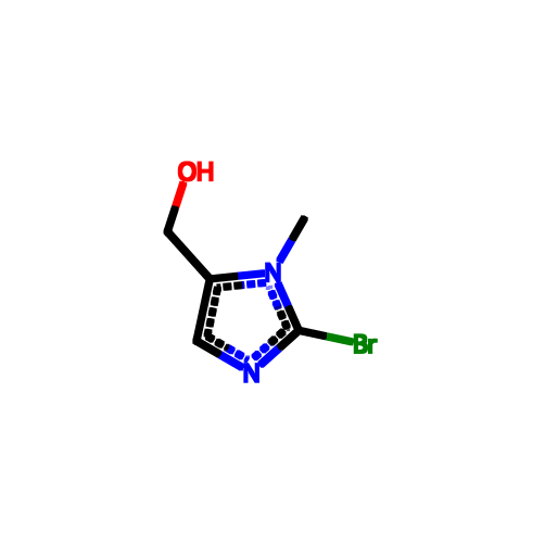 Cn1c(CO)cnc1Br